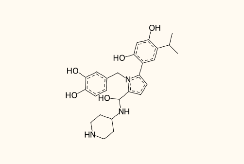 CC(C)c1cc(-c2ccc(C(O)NC3CCNCC3)n2Cc2ccc(O)c(O)c2)c(O)cc1O